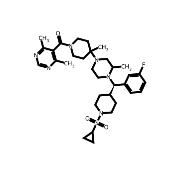 Cc1ncnc(C)c1C(=O)N1CCC(C)(N2CCN([C@@H](c3cccc(F)c3)C3CCN(S(=O)(=O)C4CC4)CC3)C(C)C2)CC1